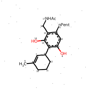 CCCCCc1cc(O)c(C2C=C(C)CCC2)c(O)c1CNC(C)=O